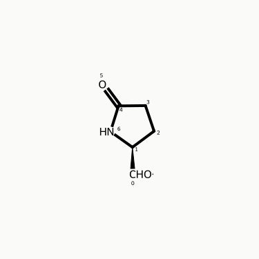 O=[C][C@@H]1CCC(=O)N1